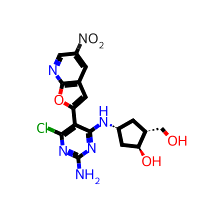 Nc1nc(Cl)c(-c2cc3cc([N+](=O)[O-])cnc3o2)c(N[C@@H]2C[C@H](CO)[C@@H](O)C2)n1